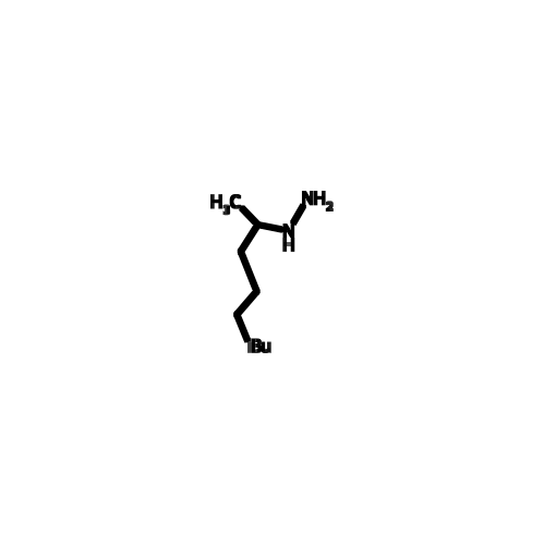 CCC(C)CCCC(C)NN